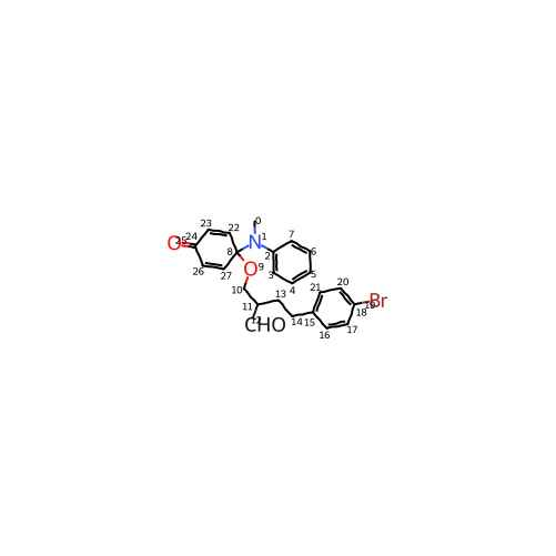 CN(c1ccccc1)C1(OCC(C=O)CCc2ccc(Br)cc2)C=CC(=O)C=C1